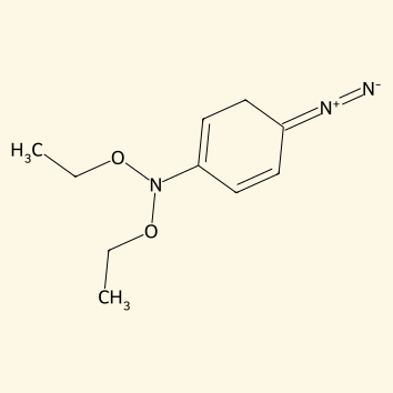 CCON(OCC)C1=CCC(=[N+]=[N-])C=C1